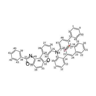 c1ccc(-c2ccc(N(c3ccccc3-c3ccc4ccccc4c3)c3cccc4c3oc3ccc5oc(-c6ccccc6)nc5c34)cc2)cc1